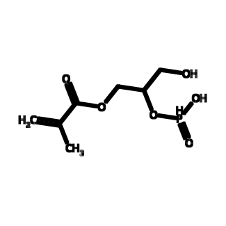 C=C(C)C(=O)OCC(CO)O[PH](=O)O